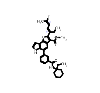 CC/C(=C\C=C(/C)F)c1oc2c(cc(-c3cccc(C(=O)NC4(CC)CCCCC4)c3)c3[nH]ccc32)c1C(=O)NC